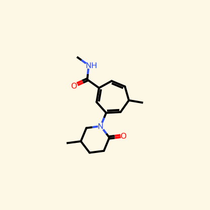 CNC(=O)C1=CC(N2CC(C)CCC2=O)=CC(C)C=C1